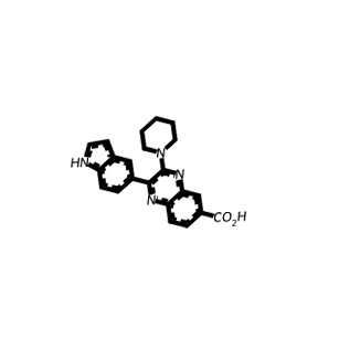 O=C(O)c1ccc2nc(-c3ccc4[nH]ccc4c3)c(N3CCCCC3)nc2c1